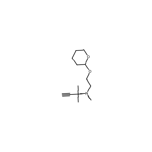 C#CC(C)(C)N(C)CCOC1CCCCO1